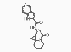 CC(C)C(=O)N1CCCCC12CC2CNC(=O)c1cc2cnccc2[nH]1